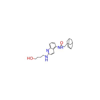 O=C(CC12CC3CC(CC(C3)C1)C2)Nc1cccc2nc(NCCCCO)ccc12